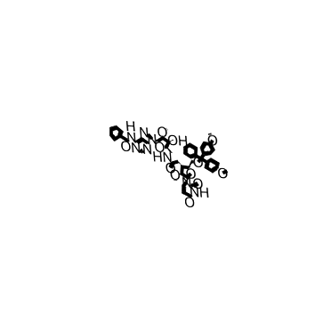 COc1ccc(C(OC[C@H]2O[C@@H](n3ccc(=O)[nH]c3=O)[C@H](OC)[C@@H]2CC(=O)NC[C@H]2O[C@@H](n3cnc4c(NC(=O)c5ccccc5)ncnc43)[C@H](OC)[C@@H]2O)(c2ccccc2)c2ccc(OC)cc2)cc1